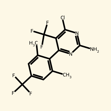 Cc1cc(C(F)(F)F)cc(C)c1-c1nc(N)nc(Cl)c1C(F)(F)F